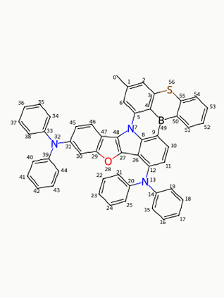 Cc1cc2c3c(c1)-n1c4c(ccc(N(c5ccccc5)c5ccccc5)c4c4oc5cc(N(c6ccccc6)c6ccccc6)ccc5c41)B3c1ccccc1S2